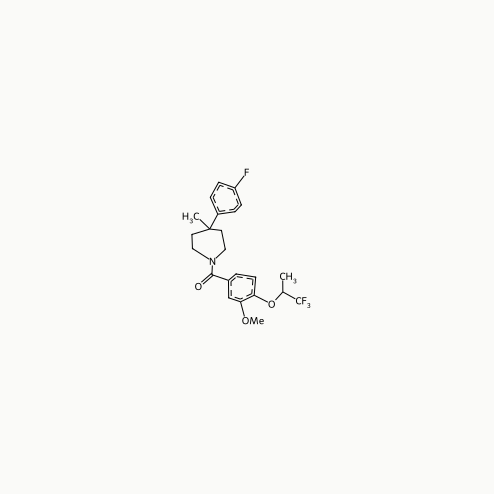 COc1cc(C(=O)N2CCC(C)(c3ccc(F)cc3)CC2)ccc1OC(C)C(F)(F)F